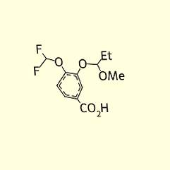 CCC(OC)Oc1cc(C(=O)O)ccc1OC(F)F